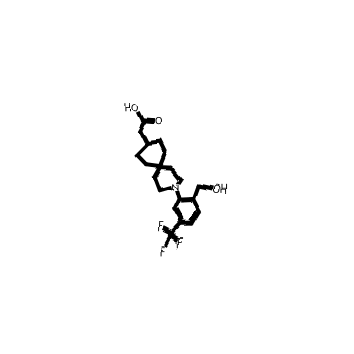 O=C(O)CC1CCC2(CC1)CCN(c1cc(C(F)(F)F)ccc1CO)CC2